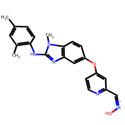 Cc1ccc(Nc2nc3cc(Oc4ccnc(/C=N\O)c4)ccc3n2C)c(C)c1